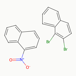 Brc1ccc2ccccc2c1Br.O=[N+]([O-])c1cccc2ccccc12